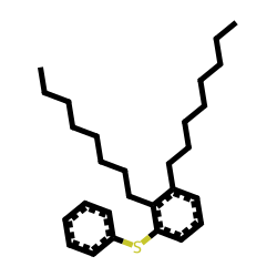 CCCCCCCCc1cccc(Sc2ccccc2)c1CCCCCCCC